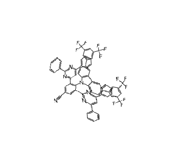 N#Cc1cc(-c2cc(-c3ccccc3)nc(-c3ccccc3)n2)c(-n2c3ccc(-c4cc(C(F)(F)F)cc(C(F)(F)F)c4)cc3c3cc(-c4cc(C(F)(F)F)cc(C(F)(F)F)c4)ccc32)c(-c2nc(-c3ccccc3)cc(-c3ccccc3)n2)c1